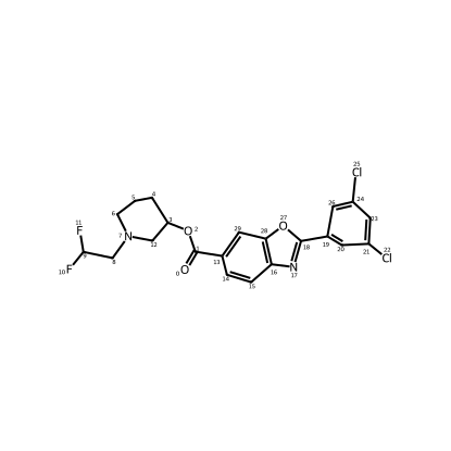 O=C(OC1CCCN(CC(F)F)C1)c1ccc2nc(-c3cc(Cl)cc(Cl)c3)oc2c1